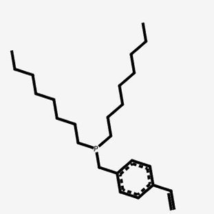 C=Cc1ccc(CP(CCCCCCCC)CCCCCCCC)cc1